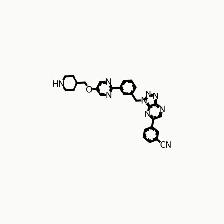 N#Cc1cccc(-c2cnc3nnn(Cc4cccc(-c5ncc(OCC6CCNCC6)cn5)c4)c3n2)c1